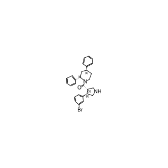 O=C([C@@H]1CNC[C@H]1c1cccc(Br)c1)N1CC[C@H](c2ccccc2)C[C@H]1c1ccccc1